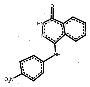 O=c1[nH]nc(Nc2ccc([N+](=O)[O-])cc2)c2ccccc12